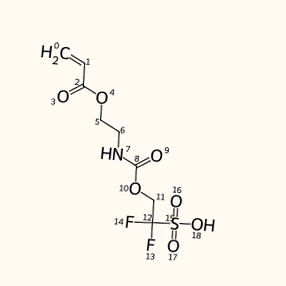 C=CC(=O)OCCNC(=O)OCC(F)(F)S(=O)(=O)O